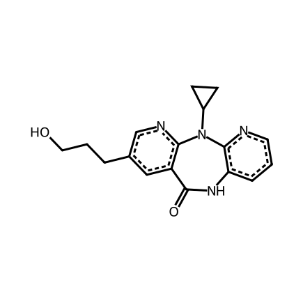 O=C1Nc2cccnc2N(C2CC2)c2ncc(CCCO)cc21